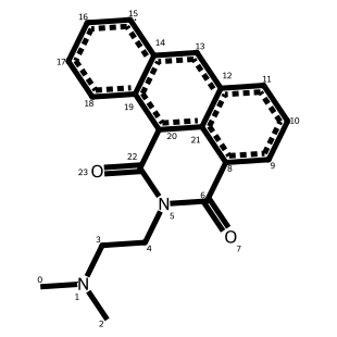 CN(C)CCN1C(=O)c2cccc3cc4[c]cccc4c(c23)C1=O